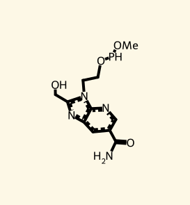 COPOCCn1c(CO)nc2cc(C(N)=O)cnc21